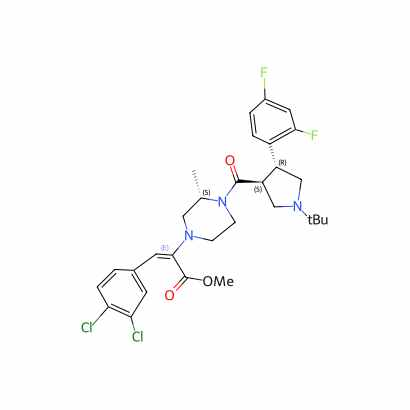 COC(=O)/C(=C\c1ccc(Cl)c(Cl)c1)N1CCN(C(=O)[C@@H]2CN(C(C)(C)C)C[C@H]2c2ccc(F)cc2F)[C@@H](C)C1